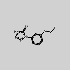 O=c1[nH]nnn1-c1cccc(SCF)c1